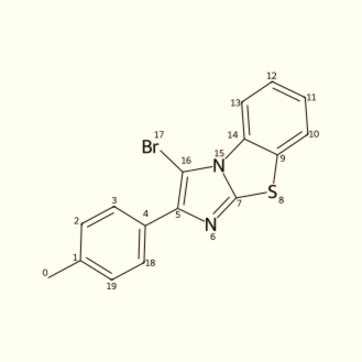 Cc1ccc(-c2nc3sc4ccccc4n3c2Br)cc1